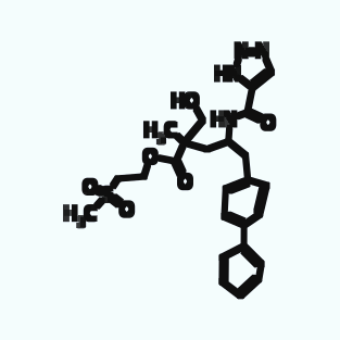 CC(CO)(CC(Cc1ccc(-c2ccccc2)cc1)NC(=O)c1cnn[nH]1)C(=O)OCCS(C)(=O)=O